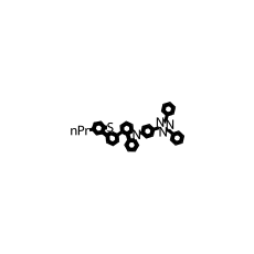 CCCc1ccc2sc3c(-c4cccc5c4c4ccccc4n5-c4ccc(-c5nc(-c6ccccc6)nc(-c6ccccc6)n5)cc4)cccc3c2c1